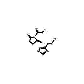 NCC(=O)N1C(=O)CCC1=O.NCCc1c[nH]cn1